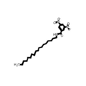 CCCCCCCCCCCCCCCCCCNC(=O)c1cc([N+](=O)[O-])cc([N+](=O)[O-])c1